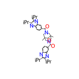 CC(C)c1nc2ccc(C(=O)N3CC4(C)CN(C(=O)c5ccc6nc(C(C)C)c(C(C)C)nc6c5)CC(C)(C3)C4=O)cc2nc1C(C)C